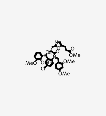 COC(=O)CCc1cnc(C[C@H]2O[C@H](c3cccc(OC)c3OC)c3cc(Cl)ccc3N(Cc3ccc(OC)cc3OC)C2=O)o1